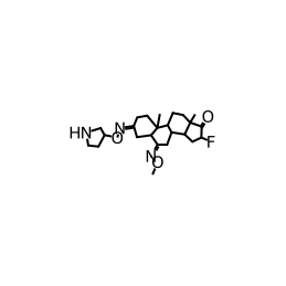 CO/N=C1\CC2C3CC(F)C(=O)C3(C)CCC2C2(C)CC/C(=N/OC3CCNC3)CC12